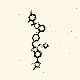 Cc1nnc(-c2ccc3c(c2)nc(CN2CCC(c4cccc5c4OC(C)(c4ccc(Cl)cc4F)O5)CC2)n3C[C@@H]2CCO2)[nH]1